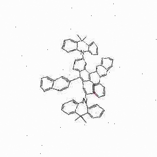 CC1(C)c2ccccc2N(c2ccc3c(-c4cc5ccccc5cc4-c4ccccc4)c4cc(N5c6ccccc6C(C)(C)c6ccccc65)ccc4c(-c4ccc5ccccc5c4)c3c2)c2ccccc21